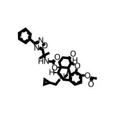 CC(=O)Oc1ccc2c3c1O[C@H]1C(=O)CC[C@@]4(OC(=O)NC(C)(C)c5nc(-c6ccccc6)no5)[C@@H](C2)N(CC2CC2)CC[C@]314